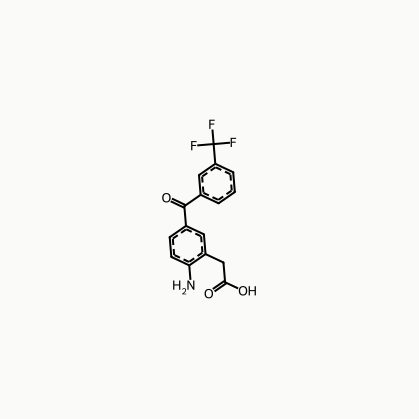 Nc1ccc(C(=O)c2cccc(C(F)(F)F)c2)cc1CC(=O)O